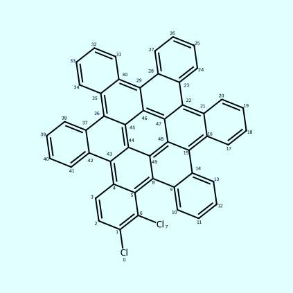 Clc1ccc2c(c1Cl)c1c3ccccc3c3c4ccccc4c4c5ccccc5c5c6ccccc6c6c7ccccc7c2c2c6c5c4c3c12